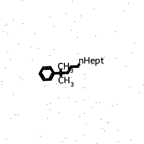 CCCCCCCCCCC(C)(C)c1ccccc1